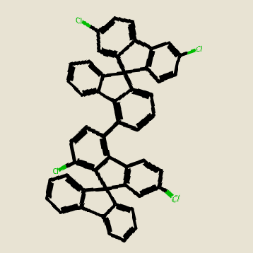 Clc1ccc2c(c1)-c1ccc(Cl)cc1C21c2ccccc2-c2c(-c3ccc(Cl)c4c3-c3ccc(Cl)cc3C43c4ccccc4-c4ccccc43)cccc21